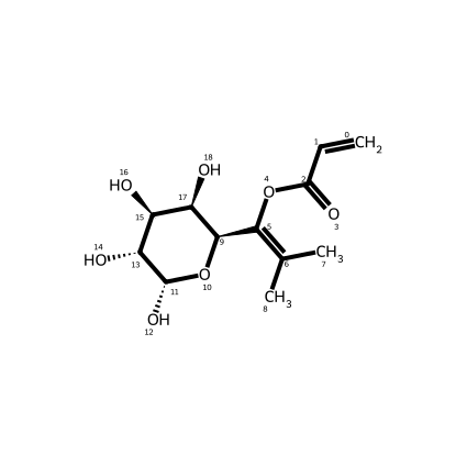 C=CC(=O)OC(=C(C)C)[C@H]1O[C@H](O)[C@H](O)[C@@H](O)[C@H]1O